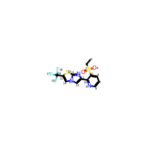 CCS(=O)(=O)c1cccnc1-c1cn2cc(C(F)(F)F)sc2n1